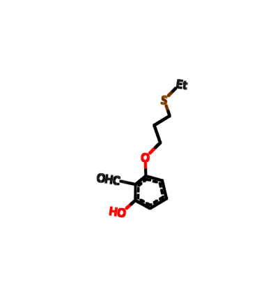 CCSCCCOc1cccc(O)c1C=O